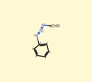 O=CN=[N+]=Nc1ccccc1